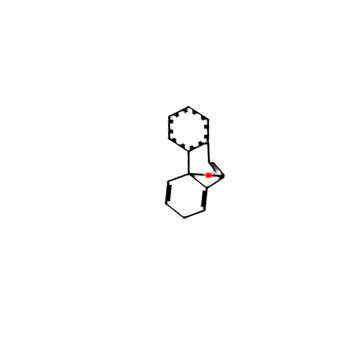 C1=CC23NCC(=Cc4ccccc42)C3=CC1